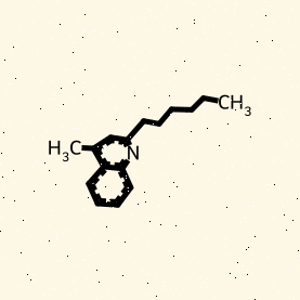 CCCCCCc1cc(C)c2ccccc2n1